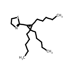 CCCCCC1=C(C2=NCCS2)C1(CCCCC)CCCCC